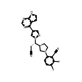 N#CC[C@@H]([C@H]1CCN(c2ccc(F)c(F)c2C#N)C1)n1cc(-c2ncnc3[nH]ccc23)cn1